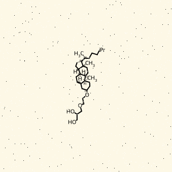 CC(C)CCC[C@@H](C)[C@H]1CC[C@H]2[C@@H]3CC=C4C[C@@H](OCCOCC(O)CO)CC[C@]4(C)[C@H]3CC[C@]12C